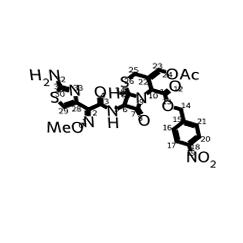 CON=C(C(=O)NC1C(=O)N2C(C(=O)OCc3ccc([N+](=O)[O-])cc3)C(=COC(C)=O)CS[C@@H]12)c1csc(N)n1